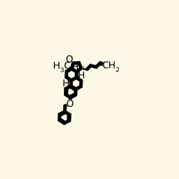 C=CCCC[C@@H]1CC(=O)[C@@]2(C)CC[C@@H]3c4ccc(OCc5ccccc5)cc4CC[C@H]3[C@H]12